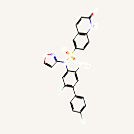 COc1cc(-c2ccc(Cl)cc2)c(F)cc1N(c1ccon1)S(=O)(=O)c1ccc2[nH]c(=O)ccc2c1